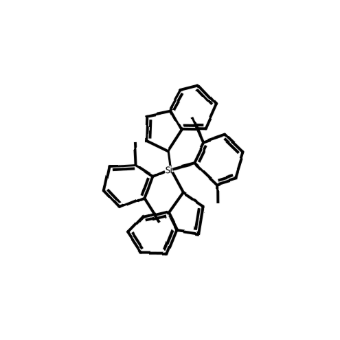 Cc1cccc(C)c1[Si](c1c(C)cccc1C)(C1C=Cc2ccccc21)C1C=Cc2ccccc21